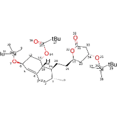 C[C@@H]1C=CC2=C[C@@H](O[Si](C)(C)C(C)(C)C)C[C@H](OC(=O)C(C)(C)C)[C@@H]2[C@H]1CC[C@@H]1C[C@@H](O[Si](C)(C)C(C)(C)C)CC(=O)O1